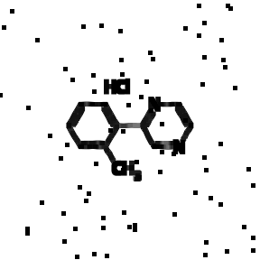 Cc1ccccc1-c1cnccn1.Cl